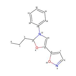 CCCC1OC(c2ccno2)=[C]N1c1ccccc1